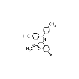 COC(=O)CC(N=C(c1ccc(C)cc1)c1ccc(C)cc1)c1ccc(Br)cc1